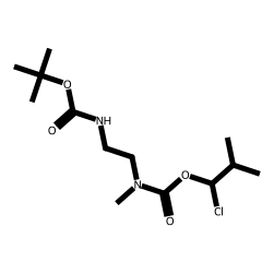 CC(C)C(Cl)OC(=O)N(C)CCNC(=O)OC(C)(C)C